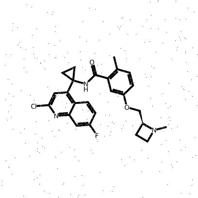 Cc1ccc(OC[C@@H]2CCN2C)cc1C(=O)NC1(c2cc(Cl)nc3cc(F)ccc23)CC1